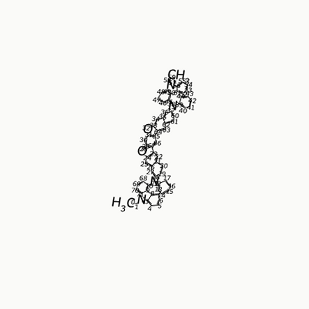 CCn1c2ccccc2c2c(N(c3ccccc3)c3ccc4cc5c(cc4c3)oc3cc4oc6cc7cc(N(c8ccccc8)c8cccc9c8c8ccccc8n9CC)ccc7cc6c4cc35)cccc21